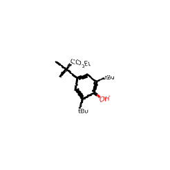 CCOC(=O)C(C)(C)c1cc(C(C)(C)C)c(O)c(C(C)(C)C)c1